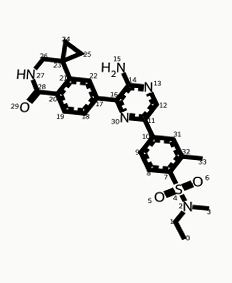 CCN(C)S(=O)(=O)c1ccc(-c2cnc(N)c(-c3ccc4c(c3)C3(CC3)CNC4=O)n2)cc1C